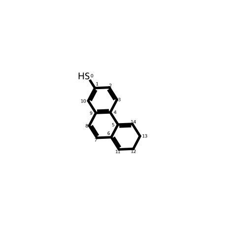 Sc1ccc2c3c(ccc2c1)=CCCC=3